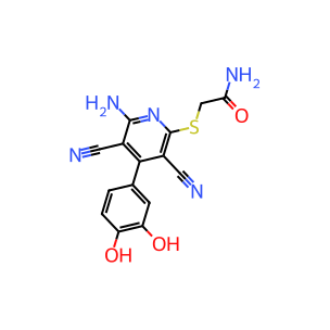 N#Cc1c(N)nc(SCC(N)=O)c(C#N)c1-c1ccc(O)c(O)c1